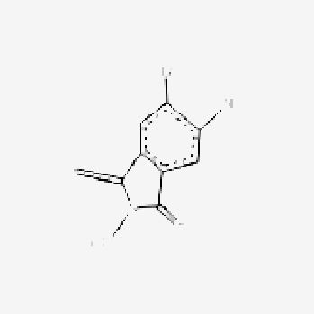 CCCCN1C(=O)c2cc(N)c(Br)cc2C1=O